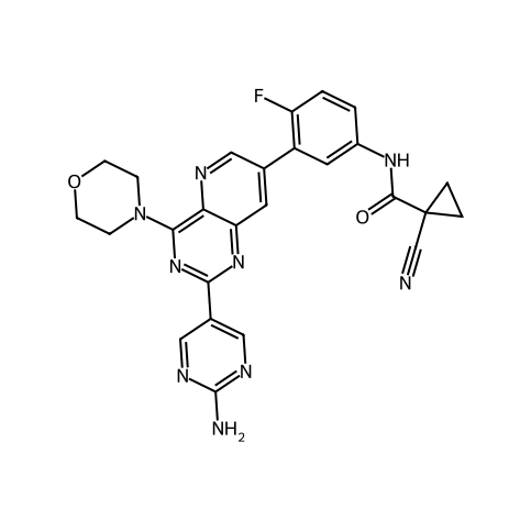 N#CC1(C(=O)Nc2ccc(F)c(-c3cnc4c(N5CCOCC5)nc(-c5cnc(N)nc5)nc4c3)c2)CC1